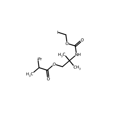 CC(C)C(C)C(=O)OCC(C)(C)NC(=O)OCI